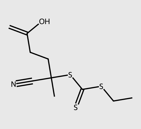 C=C(O)CCC(C)(C#N)SC(=S)SCC